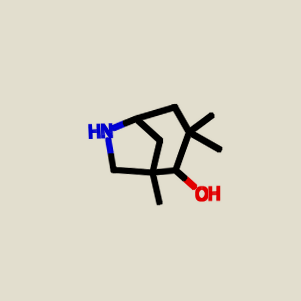 CC1(C)CC2CC(C)(CN2)C1O